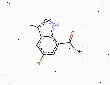 COC(=O)c1cc(Cl)cc2c(C)c[nH]c12